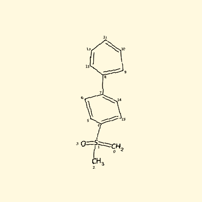 C=S(C)(=O)c1ccc(-c2ccccc2)cc1